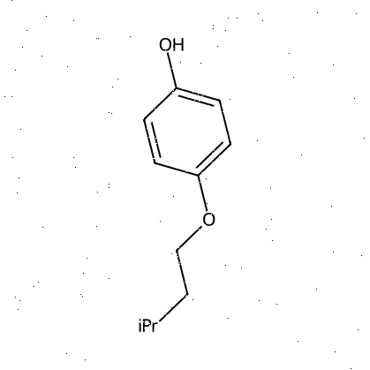 CC(C)CCOc1ccc(O)cc1